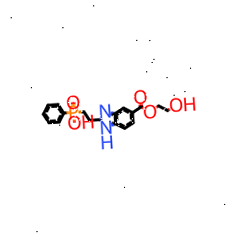 O=C(OCCO)c1ccc2[nH]c(CCP(=O)(O)c3ccccc3)nc2c1